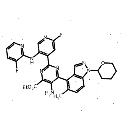 CCOC(=O)c1nc(-c2cc(F)ncc2Nc2ncccc2F)nc(-c2c(C)ccc3c2cnn3C2CCCCO2)c1N